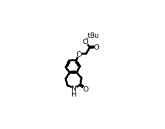 CC(C)(C)OC(=O)COc1ccc2c(c1)CC(=O)NCC2